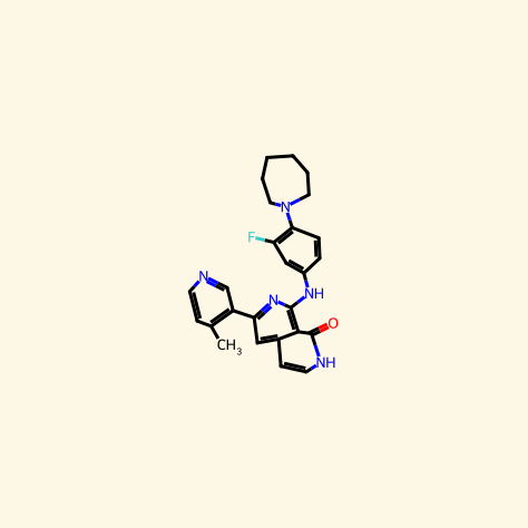 Cc1ccncc1-c1cc2cc[nH]c(=O)c2c(Nc2ccc(N3CCCCCC3)c(F)c2)n1